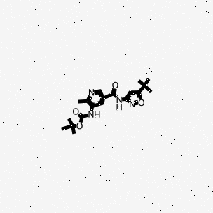 Cc1ncc(C(=O)Nc2cc(C(C)(C)C)on2)cc1NC(=O)OC(C)(C)C